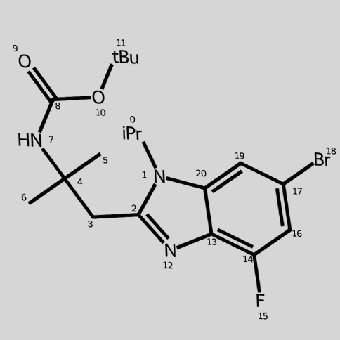 CC(C)n1c(CC(C)(C)NC(=O)OC(C)(C)C)nc2c(F)cc(Br)cc21